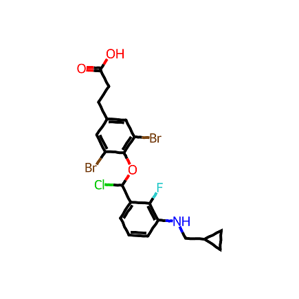 O=C(O)CCc1cc(Br)c(OC(Cl)c2cccc(NCC3CC3)c2F)c(Br)c1